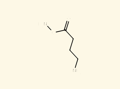 NCCCC(=O)ON